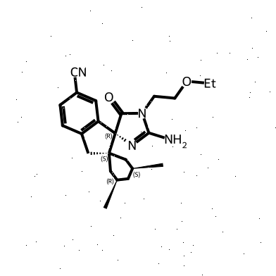 CCOCCN1C(=O)[C@]2(N=C1N)c1cc(C#N)ccc1C[C@]21C[C@H](C)C[C@H](C)C1